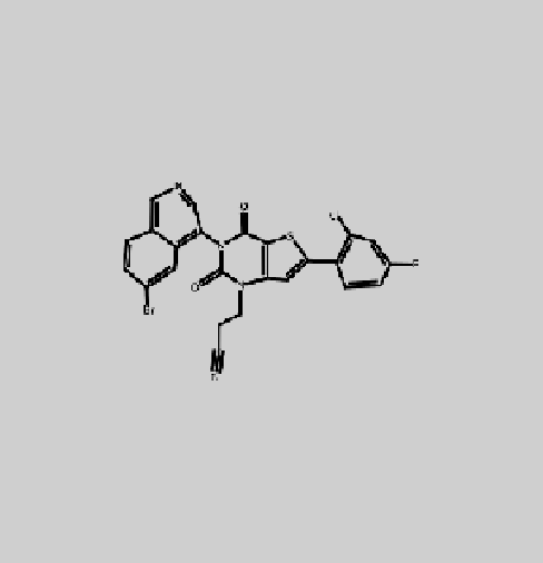 N#CCCn1c(=O)n(-c2cncc3ccc(Br)cc23)c(=O)c2sc(-c3ccc(F)cc3Cl)cc21